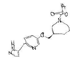 CC(C)S(=O)(=O)N1CCC[C@@H](COc2ccc(-c3ccn[nH]3)nc2)C1